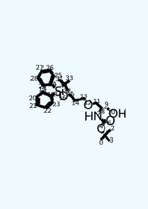 CC(C)(C)OC(=O)N[C@@H](CO)COCCCO[Si](c1ccccc1)(c1ccccc1)C(C)(C)C